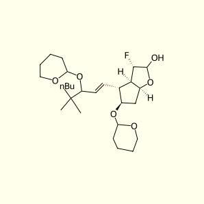 CCCCC(C)(C)C(/C=C/[C@@H]1[C@@H]2[C@H](C[C@H]1OC1CCCCO1)OC(O)[C@H]2F)OC1CCCCO1